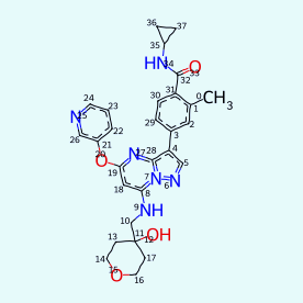 Cc1cc(-c2cnn3c(NCC4(O)CCOCC4)cc(Oc4cccnc4)nc23)ccc1C(=O)NC1CC1